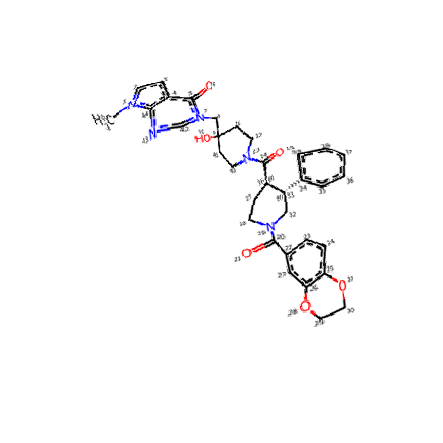 Cn1ccc2c(=O)n(CC3(O)CCN(C(=O)[C@@H]4CCN(C(=O)c5ccc6c(c5)OCCO6)C[C@H]4c4ccccc4)CC3)cnc21